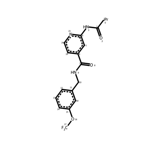 CC(C)C(=O)Nc1cc(C(=O)NCc2cccc(OC(F)(F)F)c2)ccn1